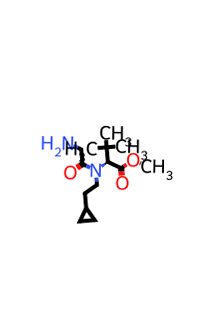 COC(=O)[C@@H](N(CCC1CC1)C(=O)CN)C(C)(C)C